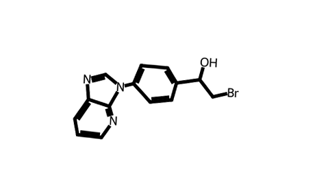 OC(CBr)c1ccc(-n2cnc3cccnc32)cc1